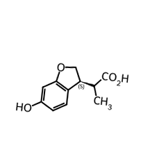 CC(C(=O)O)[C@@H]1COc2cc(O)ccc21